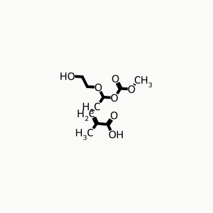 C=C(C)C(=O)O.COC(=O)OC(C)OCCO